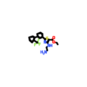 CCOC(=O)c1sc(-c2cccc(-c3ccccc3C(F)(F)F)c2)nc1NCCN